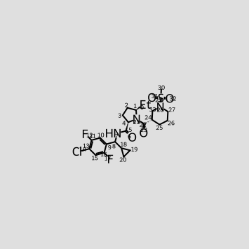 CC[C@@H]1CC[C@H](C(=O)NC(c2cc(F)c(Cl)cc2F)C2CC2)N1C(=O)[C@H]1CCCN(S(C)(=O)=O)C1